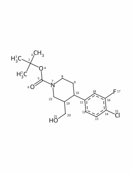 CC(C)(C)OC(=O)N1CCC(c2ccc(Cl)c(F)c2)C(CO)C1